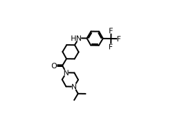 CC(C)N1CCN(C(=O)C2CCC(Nc3ccc(C(F)(F)F)cc3)CC2)CC1